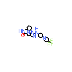 O=C1NCC2(CCCCC2)n2c1cc1cnc(NC3CCC(N4CCC(C(F)(F)F)CC4)CC3)nc12